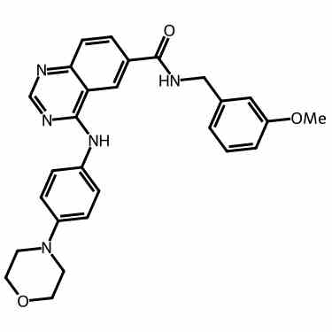 COc1cccc(CNC(=O)c2ccc3ncnc(Nc4ccc(N5CCOCC5)cc4)c3c2)c1